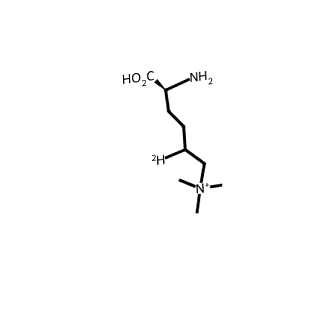 [2H]C(CC[C@H](N)C(=O)O)C[N+](C)(C)C